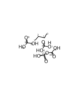 CCCC.O=C(O)O.O=C(O)O.O=C(O)OC(=O)O